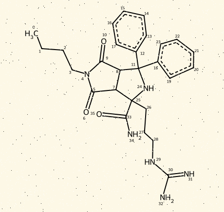 CCCCN1C(=O)C2C(C1=O)C(c1ccccc1)(c1ccccc1)NC2(CCCNC(=N)N)C(N)=O